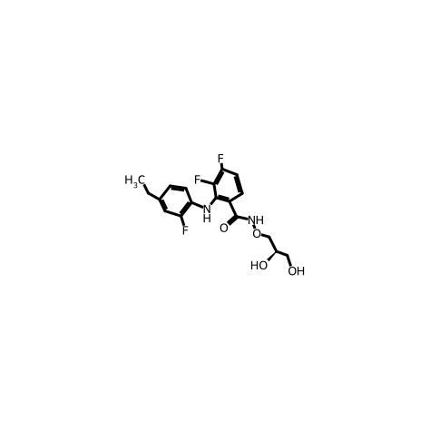 CCc1ccc(Nc2c(C(=O)NOC[C@H](O)CO)ccc(F)c2F)c(F)c1